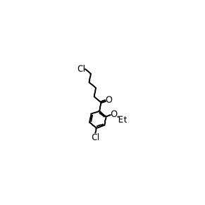 CCOc1cc(Cl)ccc1C(=O)CCCCCl